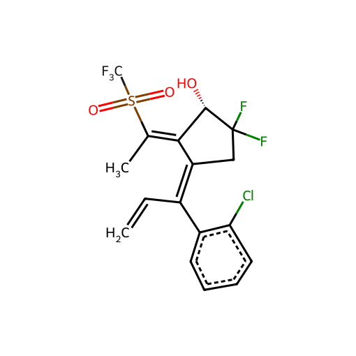 C=C/C(=C1/CC(F)(F)[C@@H](O)/C1=C(/C)S(=O)(=O)C(F)(F)F)c1ccccc1Cl